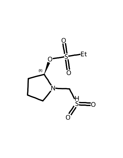 CCS(=O)(=O)O[C@@H]1CCCN1C[SH](=O)=O